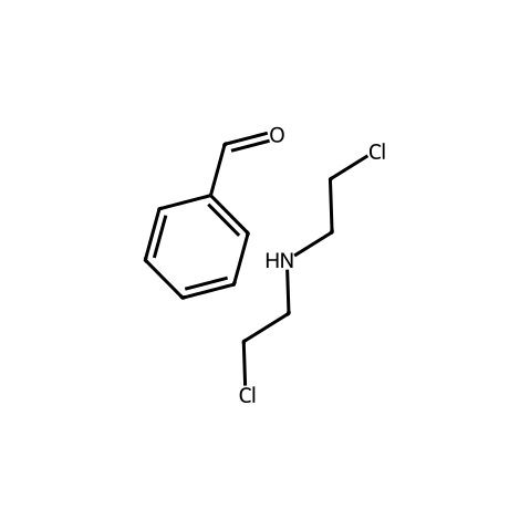 ClCCNCCCl.O=Cc1ccccc1